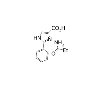 CCC(N)=O.O=C(O)c1c[nH]c(-c2ccccc2)n1